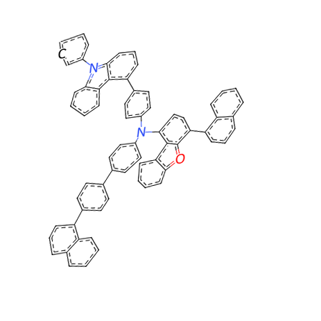 c1ccc(-n2c3ccccc3c3c(-c4ccc(N(c5ccc(-c6ccc(-c7cccc8ccccc78)cc6)cc5)c5ccc(-c6cccc7ccccc67)c6oc7ccccc7c56)cc4)cccc32)cc1